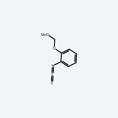 COCOc1ccccc1N=C=S